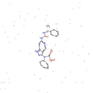 C[C@@H](NC(=O)Nc1cc2[nH]nc(N(C(=O)O)c3ccccc3)c2cn1)c1ccccc1